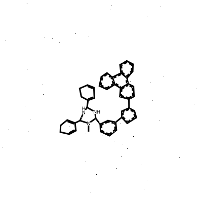 CN1C(C2=CCCC=C2)NC(C2=CC=CCC2)NC1c1cccc(-c2cccc(-c3ccc4c5ccccc5c5ccccc5c4c3)c2)c1